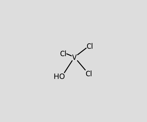 [OH][V]([Cl])([Cl])[Cl]